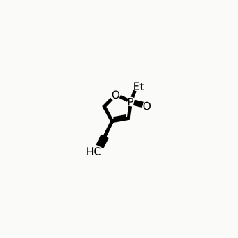 C#CC1=CP(=O)(CC)OC1